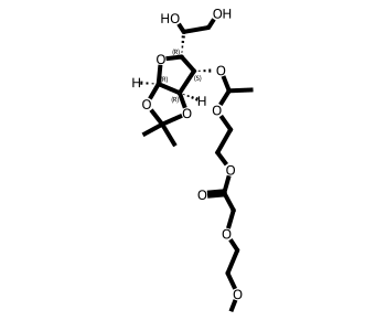 COCCOCC(=O)OCCOC(C)O[C@@H]1[C@H]2OC(C)(C)O[C@H]2O[C@@H]1C(O)CO